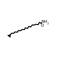 NC(=O)CCCCCCCCCCCCCCCCCC1CC1